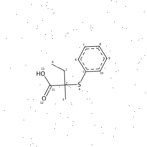 CCC(C)(Sc1ccccc1)C(=O)O